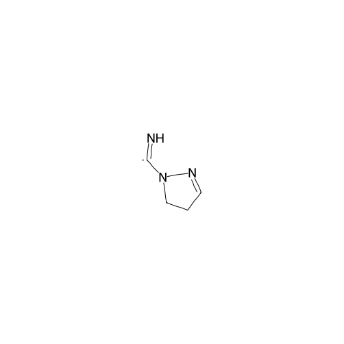 N=[C]N1CCC=N1